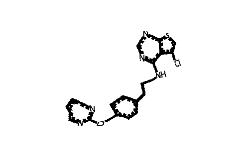 Clc1csc2ncnc(NCCc3ccc(Oc4ncccn4)cc3)c12